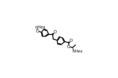 CCCCCCOc1ccc(C(=O)Cc2ccc(C(=O)O[C@@H](C)CCCCCC)cc2)cc1